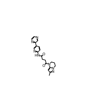 Cc1cc2n(n1)CCCN2C(=O)CCC(=O)Nc1ccc(-c2cnccn2)cn1